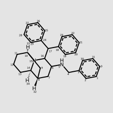 c1ccc(CNC2C[C@H]3C[C@H]4CCC[C@H]3N4C2C(c2ccccc2)c2ccccc2)cc1